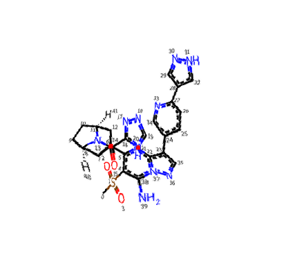 CS(=O)(=O)c1c(C2C[C@H]3CC[C@@H](C2)N3C(=O)c2nnc[nH]2)nc2c(-c3ccc(-c4cn[nH]c4)nc3)cnn2c1N